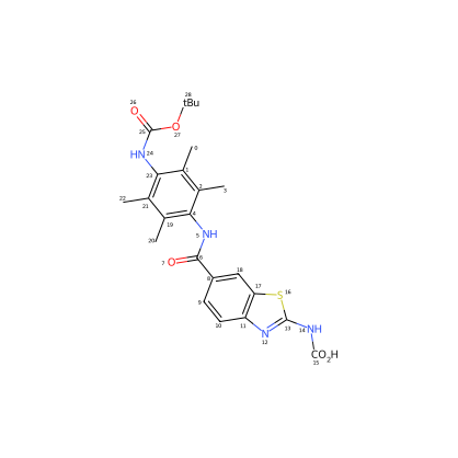 Cc1c(C)c(NC(=O)c2ccc3nc(NC(=O)O)sc3c2)c(C)c(C)c1NC(=O)OC(C)(C)C